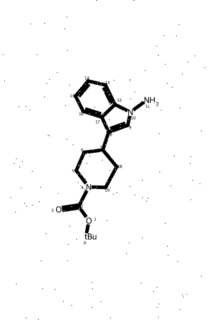 CC(C)(C)OC(=O)N1CCC(c2cn(N)c3ccccc23)CC1